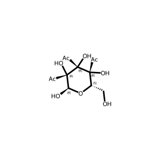 CC(=O)[C@@]1(O)[C@@](O)(C(C)=O)[C@H](CO)O[C@@H](O)[C@@]1(O)C(C)=O